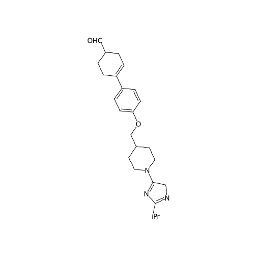 CC(C)C1=NCC(N2CCC(COc3ccc(C4=CCC(C=O)CC4)cc3)CC2)=N1